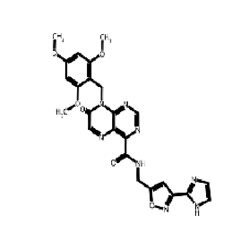 COc1cc(OC)c(Cn2c(=O)cnc3c(C(=O)NCc4cc(-c5ncc[nH]5)no4)ncnc32)c(OC)c1